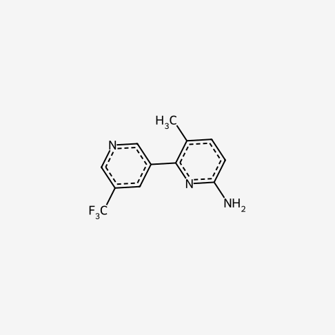 Cc1ccc(N)nc1-c1cncc(C(F)(F)F)c1